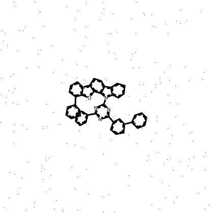 c1ccc(-c2cccc(-c3nc(-c4ccccc4)nc(-n4c5ccccc5c5ccc6c7cccc(-c8ccccc8)c7oc6c54)n3)c2)cc1